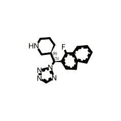 Fc1c([C@H]([C@@H]2CCCNC2)n2ncnn2)ccc2ccccc12